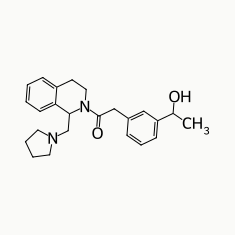 CC(O)c1cccc(CC(=O)N2CCc3ccccc3C2CN2CCCC2)c1